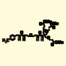 COC(=O)CCOCC(COCCC(=O)OC)(COCCC(=O)OC)NC(=O)NCCOCCNC(=O)NCc1ccc(C)cc1